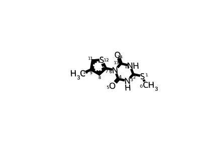 CSC1NC(=O)N(c2cc(C)cs2)C(=O)N1